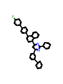 Fc1ccc(-c2ccc(-c3ccc(-c4cc(-c5cccc(-c6ccccc6)c5)nc(-c5ccccc5)n4)c4ccccc34)cc2)cc1